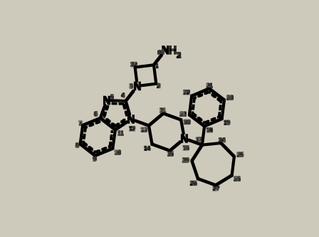 NC1CN(c2nc3ccccc3n2C2CCN(C3(c4ccccc4)CCCCCC3)CC2)C1